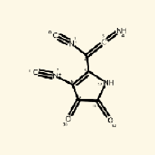 [C-]#[N+]C(=C=N)C1=C([N+]#[C-])C(=O)C(=O)N1